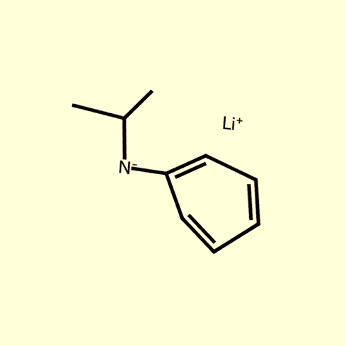 CC(C)[N-]c1ccccc1.[Li+]